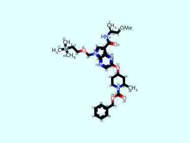 COC[C@H](C)NC(=O)c1cn(COCC[Si](C)(C)C)c2ncc(OC3CCN(C(=O)OCc4ccccc4)C(C)C3)nc12